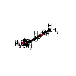 CNCCCCCC(=O)NCCOCCOCCNC(=O)CCCCCNC(=O)OC1Cc2ccccc2/C(C(C)C)=C(/C(C)C)c2ccccc21